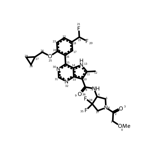 COCC(=O)N1CC(NC(=O)c2c(C)[nH]c3c(-c4cc(C(F)F)ccc4OCC4CC4)ncnc23)C(F)(F)C1